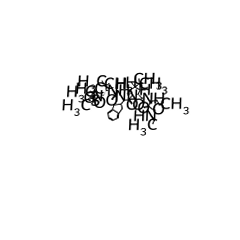 CCCC(NC(=O)[C@@H]1[C@@H]2[C@H](CN1C(=O)[C@@H](NC(=O)N[C@H](CN(CC)S(=O)(=O)CC)C(C)(C)C)C1Cc3ccccc3C1)C2(C)C)C(=O)C(=O)NCC